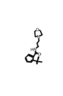 CC(C)(C)c1ccccc1C(=O)NCCCN1CCOCC1